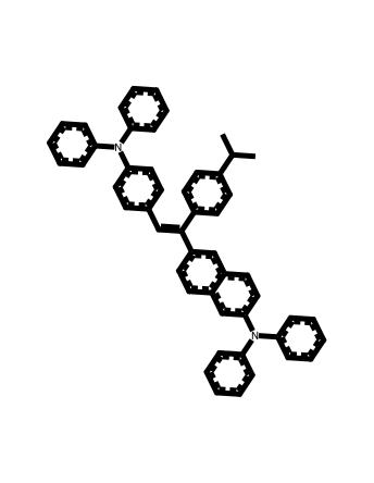 CC(C)c1ccc(/C(=C\c2ccc(N(c3ccccc3)c3ccccc3)cc2)c2ccc3cc(N(c4ccccc4)c4ccccc4)ccc3c2)cc1